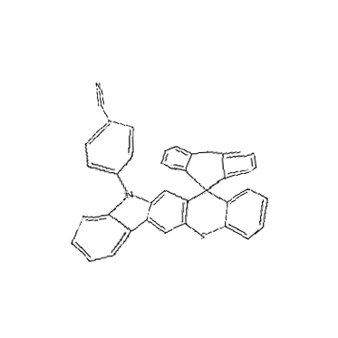 N#Cc1ccc(-n2c3ccccc3c3cc4c(cc32)C2(c3ccccc3S4)c3ccccc3-c3ccccc32)cc1